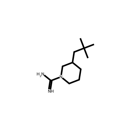 CC(C)(C)CC1CCCN(C(=N)N)C1